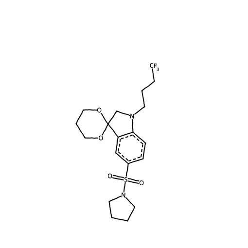 O=S(=O)(c1ccc2c(c1)C1(CN2CCCC(F)(F)F)OCCCO1)N1CCCC1